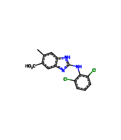 Cc1cc2[nH]c(Nc3c(Cl)cccc3Cl)nc2cc1C(=O)O